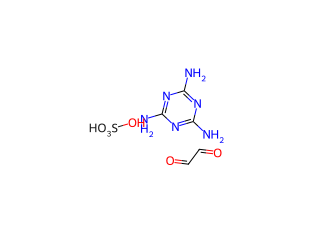 Nc1nc(N)nc(N)n1.O=CC=O.O=S(=O)(O)O